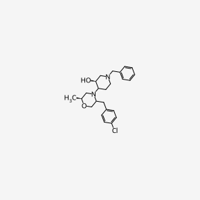 C[C@H]1CN(C2CCN(Cc3ccccc3)C[C@@H]2O)C(Cc2ccc(Cl)cc2)CO1